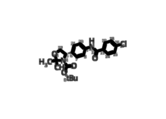 CC(C)(C)OC(=O)N1[C@@H](c2ccc(NC(=O)c3ccc(Cl)cc3)cc2)COC1(C)C